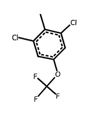 Cc1c(Cl)cc(OC(F)(F)F)cc1Cl